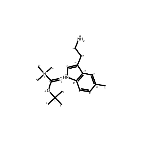 CC(C)(C)OC(=O)[N+](C)(C)C.Cc1ccc2[nH]cc(CCN)c2c1